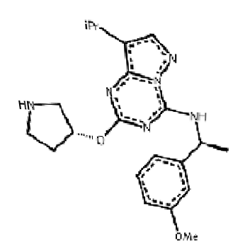 COc1cccc([C@H](C)Nc2nc(O[C@@H]3CCNC3)nc3c(C(C)C)cnn23)c1